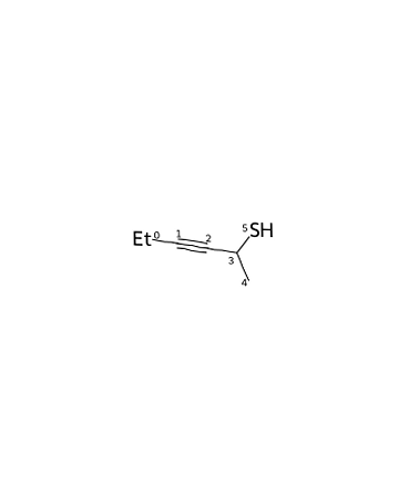 [CH2]CC#CC(C)S